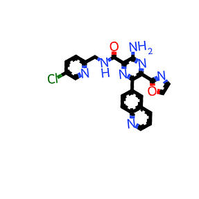 Nc1nc(-c2ncco2)c(-c2ccc3ncccc3c2)nc1C(=O)NCc1ccc(Cl)cn1